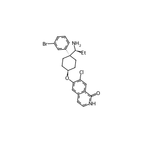 CC[C@H](N)[C@]1(c2cccc(Br)c2)CC[C@H](Oc2cc3cc[nH]c(=O)c3cc2Cl)CC1